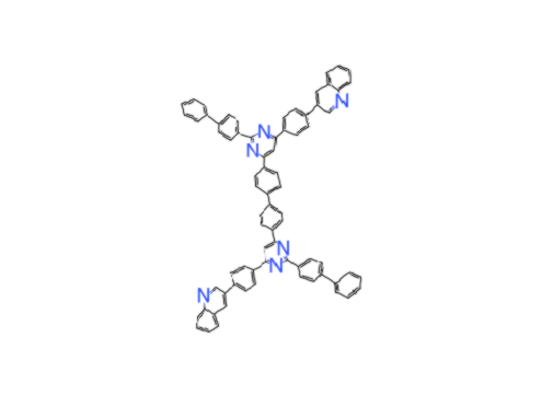 c1ccc(-c2ccc(-c3nc(-c4ccc(-c5ccc(-c6cc(-c7ccc(-c8cnc9ccccc9c8)cc7)nc(-c7ccc(-c8ccccc8)cc7)n6)cc5)cc4)cc(-c4ccc(-c5cnc6ccccc6c5)cc4)n3)cc2)cc1